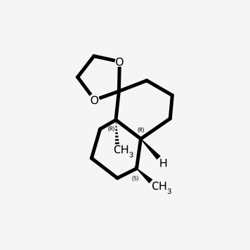 C[C@H]1CCC[C@]2(C)[C@@H]1CCCC21OCCO1